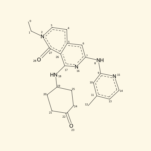 CCn1ccc2cc(Nc3cc(C)ccn3)nc(NC3CCC(=O)CC3)c2c1=O